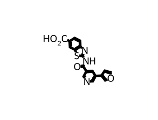 O=C(O)c1ccc2nc(NC(=O)c3cncc(-c4ccoc4)c3)sc2c1